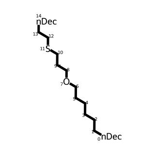 CCCCCCCCCCCCCCCCOC[CH]CSCCCCCCCCCCCC